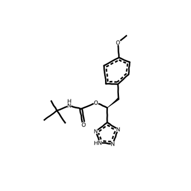 COc1ccc(C[C@H](OC(=O)NC(C)(C)C)c2nn[nH]n2)cc1